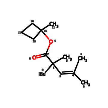 CCC(C)C(C)(C=C(C)C)C(=O)OC1(C)CCC1